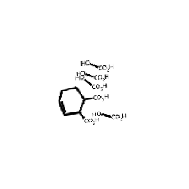 O=C(O)C1C=CCCC1C(=O)O.O=C(O)O.O=C(O)O.O=C(O)O.O=C(O)O